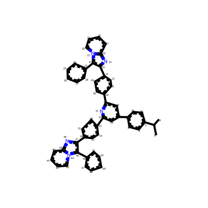 CC(C)c1ccc(-c2cc(-c3ccc(-c4nc5ccccn5c4-c4ccccc4)cc3)nc(-c3ccc(-c4nc5ccccn5c4-c4ccccc4)cc3)c2)cc1